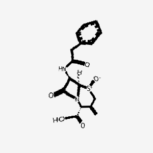 C=C1C[S+]([O-])[C@@H]2[C@H](NC(=O)Cc3ccccc3)C(=O)N2[C@H]1C(=O)O